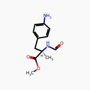 COC(=O)[C@@](C)(Cc1ccc(N)cc1)NC=O